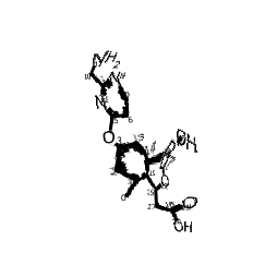 Cc1cc(Oc2ccnc(CN)n2)cc2c1C(CC(=O)O)OB2O